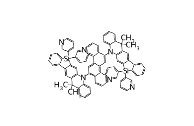 CC1(C)c2ccccc2N(c2cc3c4ccccc4c(N4c5ccccc5C(C)(C)c5cc6c(cc54)[Si](c4cccnc4)(c4cccnc4)c4ccccc4-6)cc3c3ccccc23)c2cc3c(cc21)-c1ccccc1[Si]3(c1cccnc1)c1cccnc1